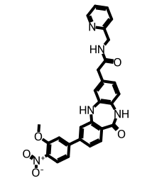 COc1cc(-c2ccc3c(c2)Nc2cc(CC(=O)NCc4ccccn4)ccc2NC3=O)ccc1[N+](=O)[O-]